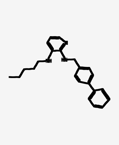 CCCCCNc1cccnc1NCc1ccc(-c2ccccc2)cc1